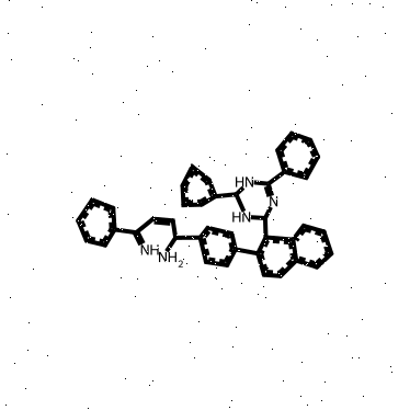 N=C(/C=C\C(N)c1ccc(-c2ccc3ccccc3c2C2N=C(c3ccccc3)NC(c3ccccc3)N2)cc1)c1ccccc1